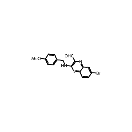 COc1ccc(CNc2nc3ccc(Br)cc3nc2C=O)cc1